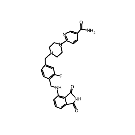 NC(=O)c1ccc(N2CCN(Cc3ccc(CNc4cccc5c4C(=O)NC5=O)c(F)c3)CC2)nc1